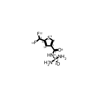 NP(N)(=O)NC(=O)c1csc(C(F)F)c1